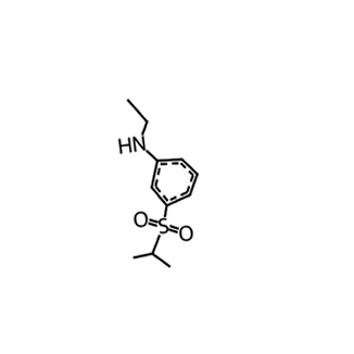 CCNc1cccc(S(=O)(=O)C(C)C)c1